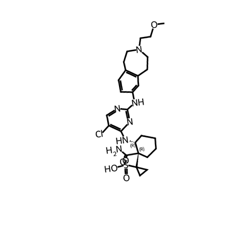 COCCN1CCc2ccc(Nc3ncc(Cl)c(N[C@@H]4CCCC[C@@]4(C(N)=O)C4(S(=O)(=O)O)CC4)n3)cc2CC1